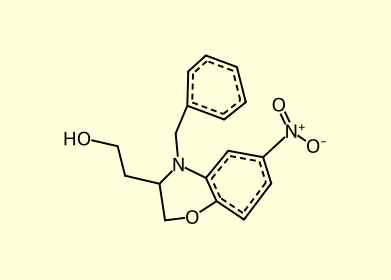 O=[N+]([O-])c1ccc2c(c1)N(Cc1ccccc1)C(CCO)CO2